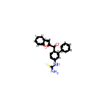 NC(=S)Nc1ccc(C(=O)c2cc3ccccc3o2)c(-c2ccccc2)c1